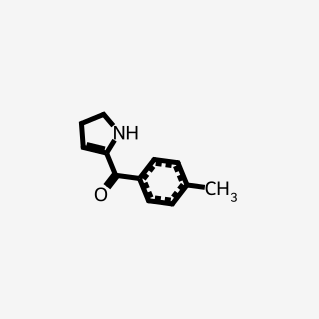 Cc1ccc(C(=O)C2=CCCN2)cc1